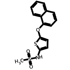 CS(=O)(=O)Nc1ccc(Oc2cccc3ccccc23)s1